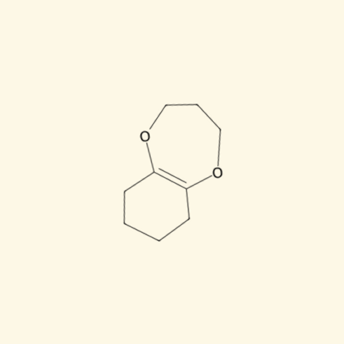 C1COC2=C(CCCC2)OC1